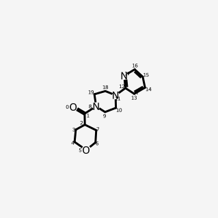 O=C(C1CCOCC1)N1CCN(c2[c]cccn2)CC1